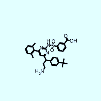 Cc1cccc(C)c1-c1cc(C(CCN)c2ccc(C(C)(C)C)cc2)nc(NS(=O)(=O)c2cccc(C(=O)O)c2)n1